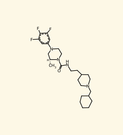 C[C@@H]1CN(c2cc(F)c(F)c(F)c2)CCN1C(=O)NCCC1CCN(CC2CCCCC2)CC1